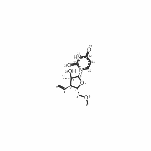 C=C[C@@H]1[C@@H](COC)O[C@@H](n2ccc(=O)[nH]c2=O)[C@]1(C)O